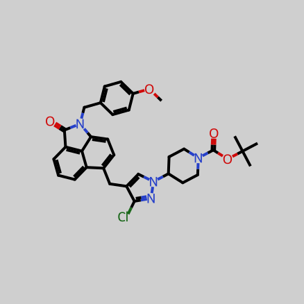 COc1ccc(CN2C(=O)c3cccc4c(Cc5cn(C6CCN(C(=O)OC(C)(C)C)CC6)nc5Cl)ccc2c34)cc1